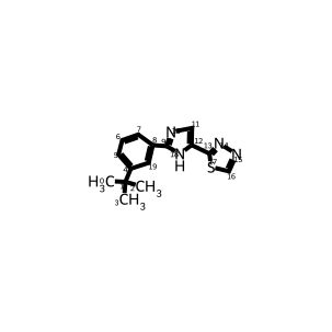 CC(C)(C)c1cccc(-c2ncc(-c3nncs3)[nH]2)c1